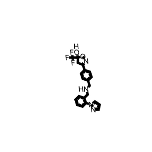 OC1(C(F)(F)F)CC(c2ccc(CNCc3ccccc3-n3cccn3)cc2)=NO1